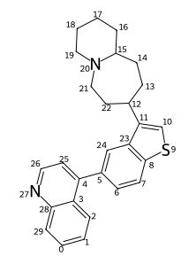 c1ccc2c(-c3ccc4scc(C5CCC6CCCCN6CC5)c4c3)ccnc2c1